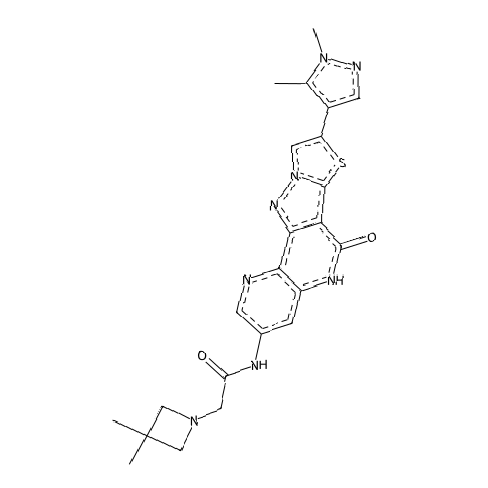 Cc1c(-c2cn3nc4c5ncc(NC(=O)CN6CC(C)(C)C6)cc5[nH]c(=O)c4c3s2)cnn1C